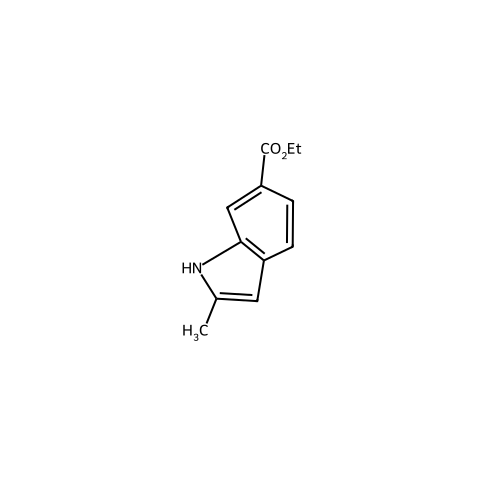 CCOC(=O)c1ccc2cc(C)[nH]c2c1